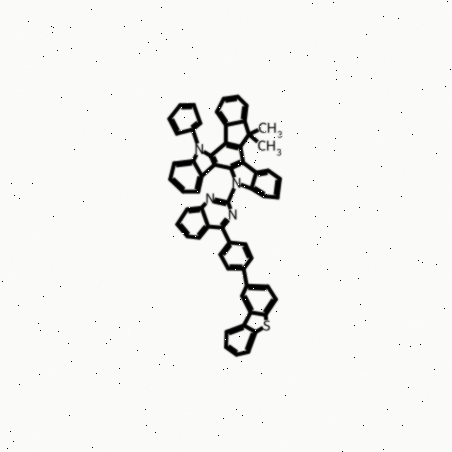 CC1(C)c2ccccc2-c2c1c1c3ccccc3n(-c3nc(-c4ccc(-c5ccc6sc7ccccc7c6c5)cc4)c4ccccc4n3)c1c1c3ccccc3n(-c3ccccc3)c21